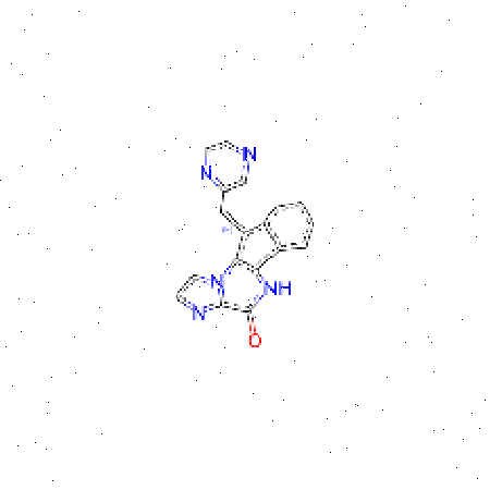 O=c1[nH]c2c3ccccc3/c(=C\c3cnccn3)c2n2ccnc12